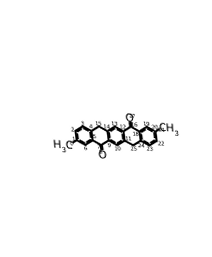 Cc1ccc2c(c1)C(=O)c1cc3c(cc1C2)C(=O)c1cc(C)ccc1C3